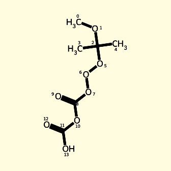 COC(C)(C)OOOC(=O)OC(=O)O